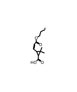 CC1(C)C(/C=C\C(=O)OCCF)C1C(=O)O